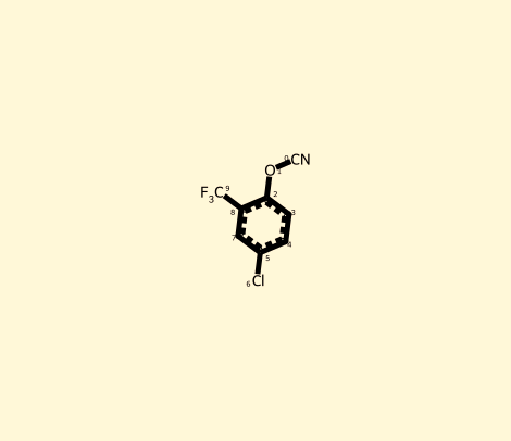 N#COc1ccc(Cl)cc1C(F)(F)F